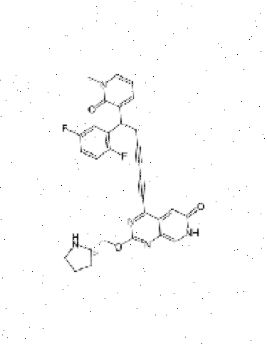 Cn1cccc(C(CC#CC#Cc2nc(OC[C@@H]3CCCN3)nc3c[nH]c(=O)cc23)c2cc(F)ccc2F)c1=O